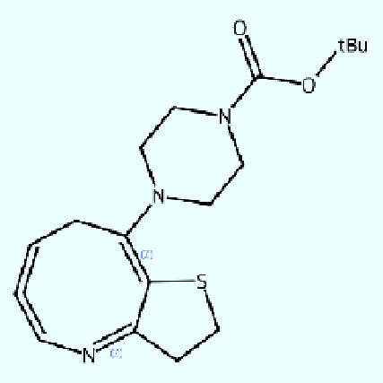 CC(C)(C)OC(=O)N1CCN(/C2=C3\SCC\C3=N\C=C=CC2)CC1